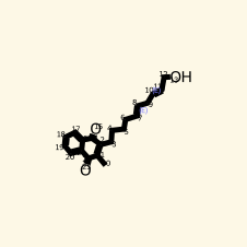 CC1=C(CCCC/C=C/C/C=C/CO)C(=O)c2ccccc2C1=O